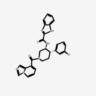 O=C(N[C@@H]1CN(C(=O)c2cccn3cncc23)CC[C@H]1c1cccc(Cl)c1)c1nc2ccccc2[nH]1